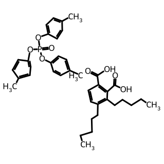 CCCCCc1ccc(C(=O)O)c(C(=O)O)c1CCCCC.Cc1ccc(OP(=O)(Oc2ccc(C)cc2)Oc2ccc(C)cc2)cc1